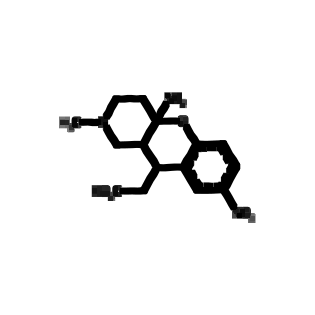 CN1CCC2(N)Oc3ccc([N+](=O)[O-])cc3C(CC(=O)O)C2C1